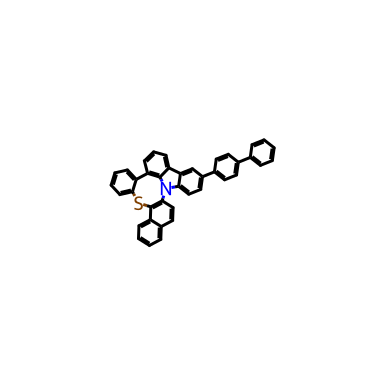 c1ccc(-c2ccc(-c3ccc4c(c3)c3cccc5c6ccccc6sc6c7ccccc7ccc6n4c53)cc2)cc1